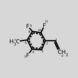 C=Cc1cc(F)c(C)c(F)c1F